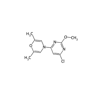 COc1nc(Cl)cc(N2C=C(C)OC(C)=C2)n1